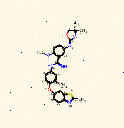 CNc1ccc(/N=C2/NC(C)(C)CO2)cc1C(=N)Nc1ccc(Oc2ccc3nc(C)sc3c2)c(C)c1